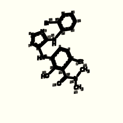 CCc1ccc(Nc2nsnc2Nc2ccccc2Br)c(O)c1C(=O)N(C)C